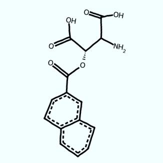 NC(C(=O)O)[C@H](OC(=O)c1ccc2ccccc2c1)C(=O)O